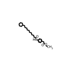 CCOC(=O)Cc1ccc(NC(=O)CCCCCCCCCCC2CCCCC2)cc1